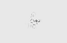 CCOc1cc(CN2CCCCC2)cc2[nH]c(=O)c3c(c12)NCCC3.Cl.Cl